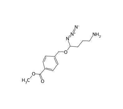 COC(=O)c1ccc(COC(CCCN)N=[N+]=[N-])cc1